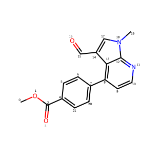 COC(=O)c1ccc(-c2ccnc3c2c(C=O)cn3C)cc1